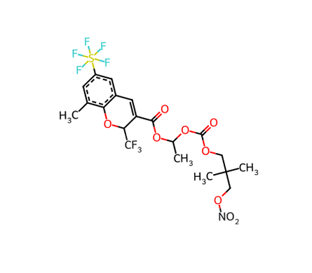 Cc1cc(S(F)(F)(F)(F)F)cc2c1OC(C(F)(F)F)C(C(=O)OC(C)OC(=O)OCC(C)(C)CO[N+](=O)[O-])=C2